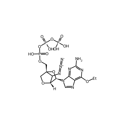 CCOc1nc(N)nc2c1ncn2[C@@H]1O[C@@]2(COP(=O)(O)OP(=O)(O)OP(=O)(O)O)CO[C@@H]1C2N=[N+]=[N-]